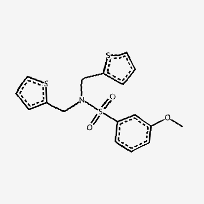 COc1cccc(S(=O)(=O)N(Cc2cccs2)Cc2cccs2)c1